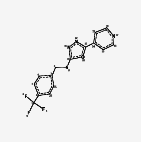 FC(F)(F)c1ccc(CSc2nnc(-c3ccncc3)o2)cc1